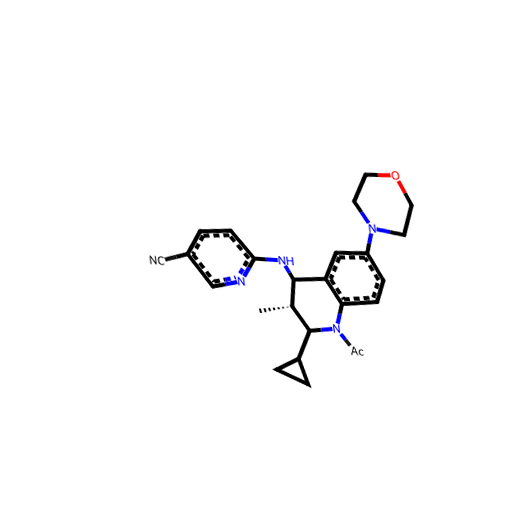 CC(=O)N1c2ccc(N3CCOCC3)cc2C(Nc2ccc(C#N)cn2)[C@@H](C)C1C1CC1